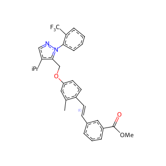 COC(=O)c1cccc(/C=C/c2ccc(OCc3c(C(C)C)cnn3-c3ccccc3C(F)(F)F)cc2C)c1